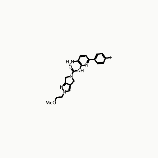 COCCn1cc2c(n1)CN(C(=O)Nc1nc(-c3ccc(F)cc3)ccc1N)C2